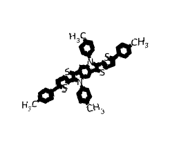 Cc1ccc(-c2cc3sc4c5cc6c(cc5n(-c5ccc(C)cc5)c4c3s2)c2sc3cc(-c4ccc(C)cc4)sc3c2n6-c2ccc(C)cc2)cc1